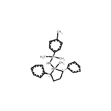 Cc1ccc([PH](C)(C)N[PH]2(C)[C@H](c3ccccc3)CC[C@H]2c2ccccc2)cc1